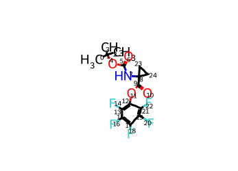 CC(C)(C)OC(=O)NC1(C(=O)Oc2c(F)c(F)c(F)c(F)c2F)CC1